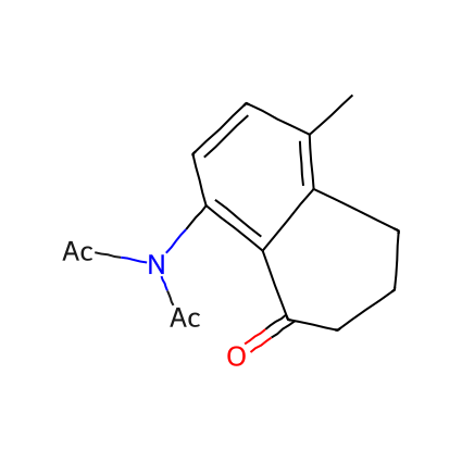 CC(=O)N(C(C)=O)c1ccc(C)c2c1C(=O)CCC2